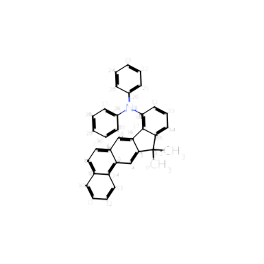 CC1(C)c2cc3c(ccc4ccccc43)cc2-c2c(N(c3ccccc3)c3ccccc3)cccc21